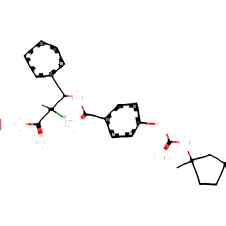 CC1(OC(=O)Oc2ccc(C(=O)OC(c3ccccc3)C(F)(F)C(=O)O)cc2)CCCC1